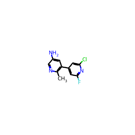 Cc1ncc(N)cc1-c1cc(F)nc(Cl)c1